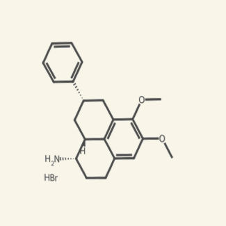 Br.COc1cc2c3c(c1OC)C[C@@H](c1ccccc1)C[C@H]3[C@@H](N)CC2